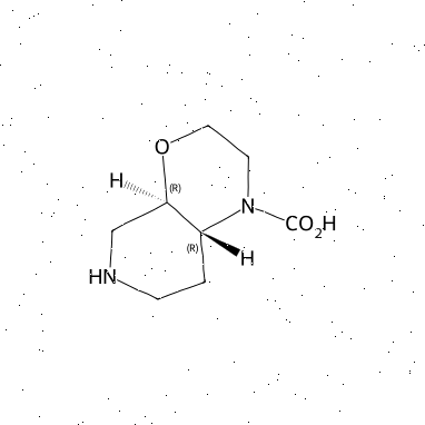 O=C(O)N1CCO[C@@H]2CNCC[C@H]21